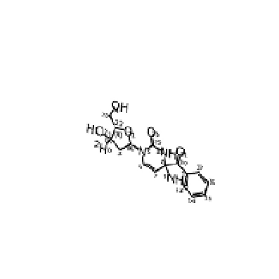 [2H][C@]1(O)C[C@H](N2C=CC(N)(C(=O)c3ccccc3)NC2=O)O[C@@H]1CO